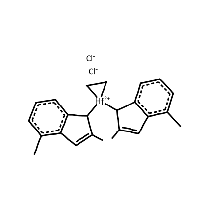 CC1=Cc2c(C)cccc2[CH]1[Hf+2]1([CH]2C(C)=Cc3c(C)cccc32)[CH2][CH2]1.[Cl-].[Cl-]